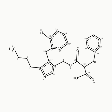 CCCCc1ncc(COC(=O)C(Cc2ccccc2)C(=O)O)n1Cc1ccccc1Cl